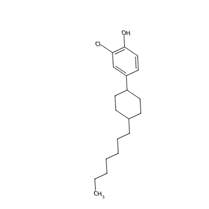 CCCCCCCC1CCC(c2ccc(O)c(Cl)c2)CC1